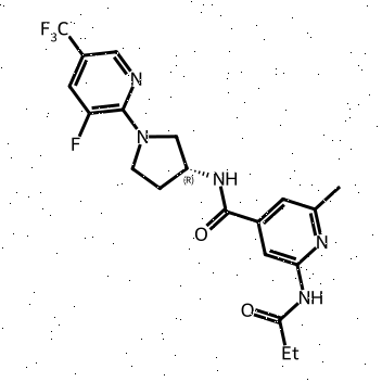 CCC(=O)Nc1cc(C(=O)N[C@@H]2CCN(c3ncc(C(F)(F)F)cc3F)C2)cc(C)n1